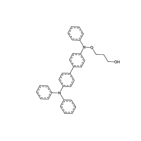 OCCCON(c1ccccc1)c1ccc(-c2ccc(N(c3ccccc3)c3ccccc3)cc2)cc1